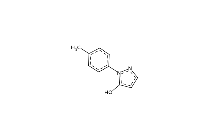 Cc1ccc(-n2nccc2O)cc1